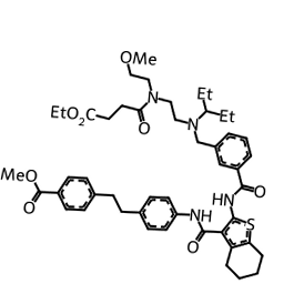 CCOC(=O)CCC(=O)N(CCOC)CCN(Cc1cccc(C(=O)Nc2sc3c(c2C(=O)Nc2ccc(CCc4ccc(C(=O)OC)cc4)cc2)CCCC3)c1)C(CC)CC